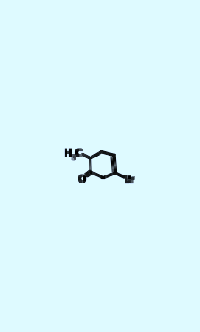 CC1CC=C(Br)CC1=O